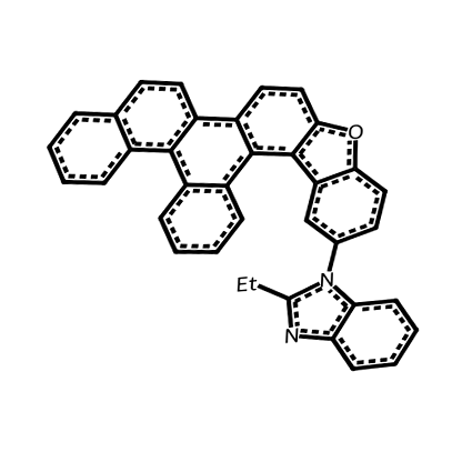 CCc1nc2ccccc2n1-c1ccc2oc3ccc4c5ccc6ccccc6c5c5ccccc5c4c3c2c1